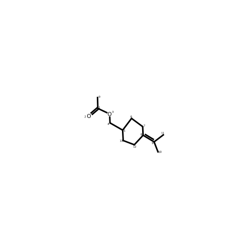 CC(=O)OCC1CCC(=C(C)C)CC1